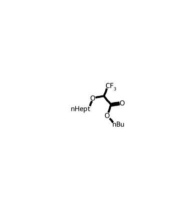 CCCCCCCOC(C(=O)OCCCC)C(F)(F)F